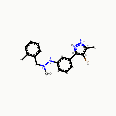 Cc1ccccc1CN(C=O)Nc1cccc(-c2n[nH]c(C)c2Br)c1